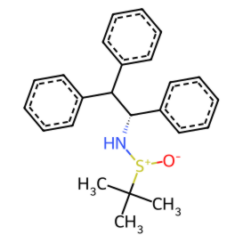 CC(C)(C)[S+]([O-])N[C@@H](c1ccccc1)C(c1ccccc1)c1ccccc1